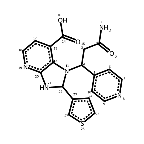 NC(=O)CC(c1ccncc1)N1c2c(C(=O)O)ccnc2NC1c1ccsc1